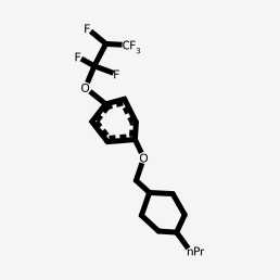 CCCC1CCC(COc2ccc(OC(F)(F)C(F)C(F)(F)F)cc2)CC1